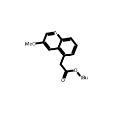 COc1cnc2cccc(CC(=O)OC(C)(C)C)c2c1